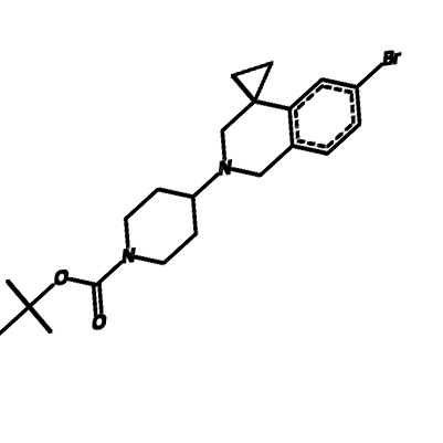 CC(C)(C)OC(=O)N1CCC(N2Cc3ccc(Br)cc3C3(CC3)C2)CC1